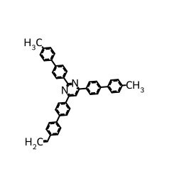 C=Cc1ccc(-c2ccc(-c3cc(-c4ccc(-c5ccc(C)cc5)cc4)nc(-c4ccc(-c5ccc(C)cc5)cc4)n3)cc2)cc1